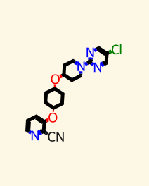 N#Cc1ncccc1O[C@H]1CC[C@H](OC2CCN(c3ncc(Cl)cn3)CC2)CC1